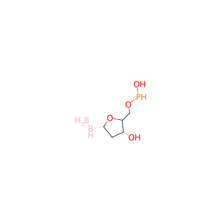 BB[C@H]1C[C@@H](O)C(COPO)O1